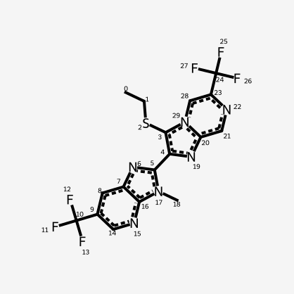 CCSc1c(-c2nc3cc(C(F)(F)F)cnc3n2C)nc2cnc(C(F)(F)F)cn12